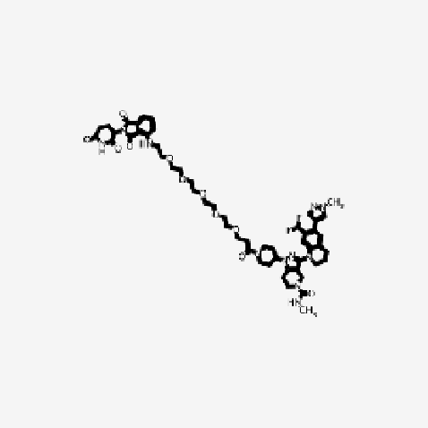 CNC(=O)N1CCc2c(c(N3CCCc4cc(-c5cnn(C)c5)c(C(F)F)cc43)nn2C2CCN(C(=O)CCOCCOCCOCCOCCOCCNc3cccc4c3C(=O)N(C3CCC(=O)NC3=O)C4=O)CC2)C1